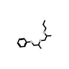 C[CH]COC(C)COC(C)COc1ccccc1